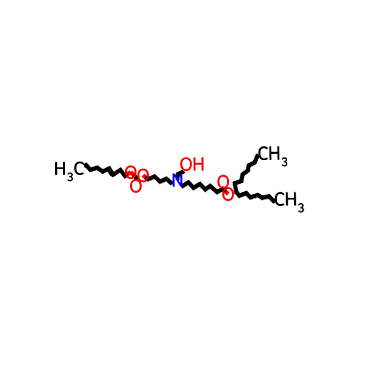 CCCCCC=CCCOC(=O)OCCCCCN(CCO)CCCCCCCC(=O)OC(CCCCCCCC)CCCCCCCC